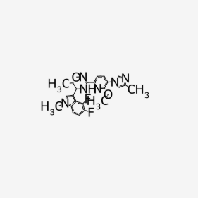 COc1nc(C2=NOC(C)C(c3cn(C)c4ccc(F)c(F)c34)N2)ccc1-n1cnc(C)c1